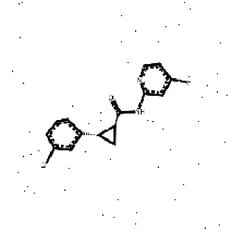 O=C(Nc1cc(F)ccn1)[C@H]1C[C@@H]1c1cccc(Cl)c1